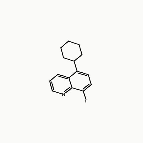 Fc1ccc(C2CC[CH]CC2)c2cccnc12